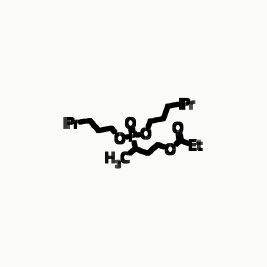 CCC(=O)OCCC(C)P(=O)(OCCCC(C)C)OCCCC(C)C